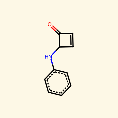 O=C1C=CC1Nc1ccccc1